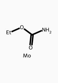 CCOC(N)=O.[Mo]